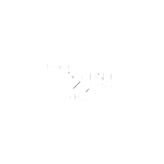 CO.N.N.O.O=CO